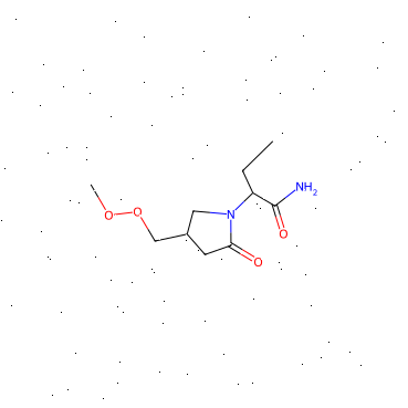 CCC(C(N)=O)N1CC(COOC)CC1=O